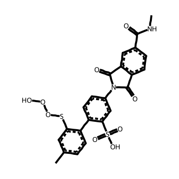 CNC(=O)c1ccc2c(c1)C(=O)N(c1ccc(-c3ccc(C)cc3SOOO)c(S(=O)(=O)O)c1)C2=O